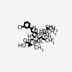 C=C[C@@H]1C[C@]1(NC(=O)[C@@H]1C[C@]2(CC(c3cccc(Cl)c3)=NO2)CN1C(=O)[C@@H](NC(=O)NC(C)(C)C)C(C)(C)C)C(=O)O